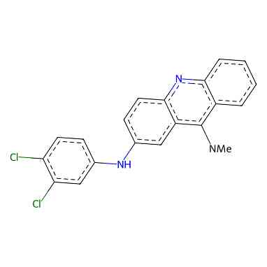 CNc1c2ccccc2nc2ccc(Nc3ccc(Cl)c(Cl)c3)cc12